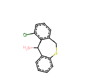 BC1c2ccccc2SCc2cccc(Cl)c21